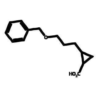 O=C(O)C1CC1CCCOCc1ccccc1